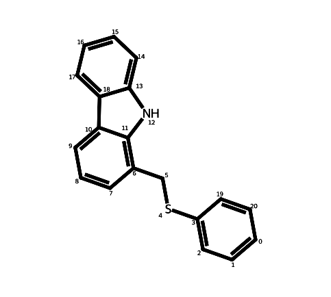 c1ccc(SCc2cccc3c2[nH]c2ccccc23)cc1